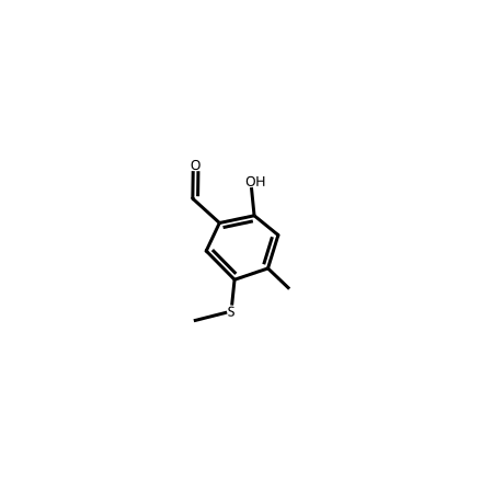 CSc1cc(C=O)c(O)cc1C